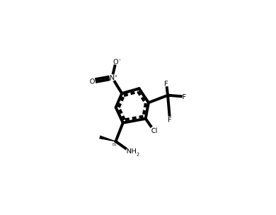 C[C@H](N)c1cc([N+](=O)[O-])cc(C(F)(F)F)c1Cl